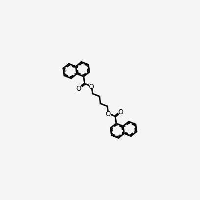 O=C(OCCCCOC(=O)c1cccc2ccccc12)c1cccc2ccccc12